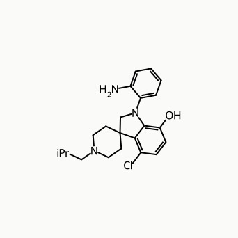 CC(C)CN1CCC2(CC1)CN(c1ccccc1N)c1c(O)ccc(Cl)c12